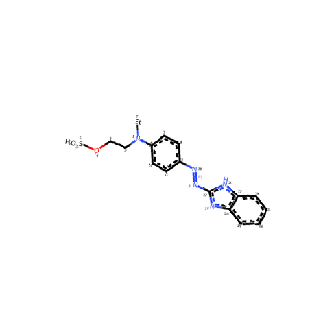 CCN(CCOS(=O)(=O)O)c1ccc(/N=N/c2nc3ccccc3[nH]2)cc1